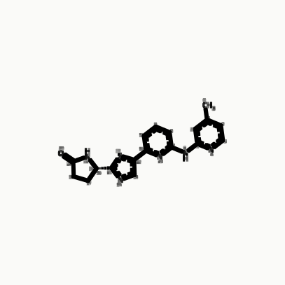 Cc1ccnc(Nc2cccc(-c3cnc([C@@H]4CCC(=O)N4)s3)n2)c1